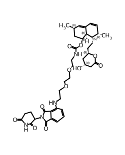 C[C@H]1C=C2C=C[C@H](C)[C@H](CC[C@@H]3C[C@@H](O)CC(=O)O3)[C@H]2[C@@H](OC(=O)NCCOCCOCCNc2cccc3c2C(=O)N(C2CCC(=O)NC2=O)C3=O)C1